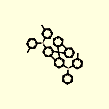 Cc1cccc(N(c2ccccc2)c2ccc3c(c2)C2(c4ccccc4-c4ccccc42)c2cc(N(c4cccc(C)c4)c4cccc(C)c4)ccc2-3)c1